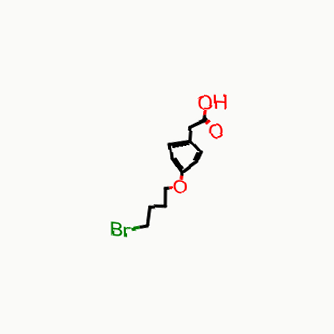 O=C(O)Cc1ccc(OCCCCBr)cc1